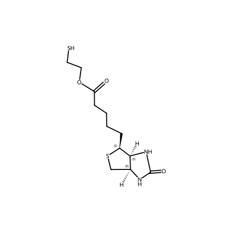 O=C1N[C@H]2[C@H](CS[C@H]2CCCCC(=O)OCCS)N1